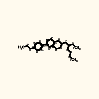 CCCCC(CC)CC1CCc2nc(-c3ccc(CCC)cc3)ncc2C1